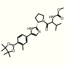 COC(=O)NC(C(=O)N1CCC[C@H]1c1ncc(-c2ccc(B3OC(C)(C)C(C)(C)O3)c(C)c2)[nH]1)C(C)C